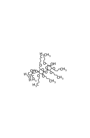 CCCCOCC1O[C@H](O[C@H]2O[C@H](COCCCC)[C@@H](O)C(OCCCC)C2OCCCC)[C@@H](OCCCC)C(OCCCC)[C@@H]1OC[C@H](O)C(C)(C)O